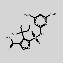 COc1cc(OC)nc(NS(=O)(=O)c2scc(C(N)=O)c2C(Cl)(CI)OC(C)=O)n1